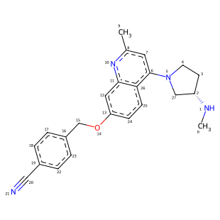 CN[C@H]1CCN(c2cc(C)nc3cc(OCc4ccc(C#N)cc4)ccc23)C1